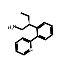 CC[C@H](CN)c1ccccc1-c1ccccn1